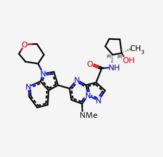 CNc1cc(-c2cn(C3CCOCC3)c3ncccc23)nc2c(C(=O)N[C@@H]3CCC[C@@]3(C)O)cnn12